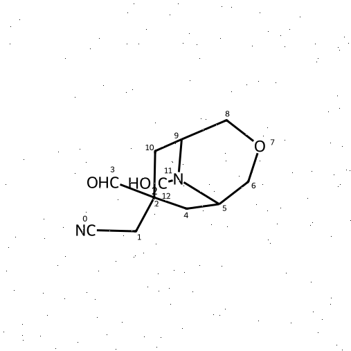 N#CCC1(C=O)CC2COCC(C1)N2C(=O)O